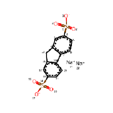 O=S(=O)([O-])c1ccc2c(c1)Cc1cc(S(=O)(=O)[O-])ccc1-2.[Na+].[Na+]